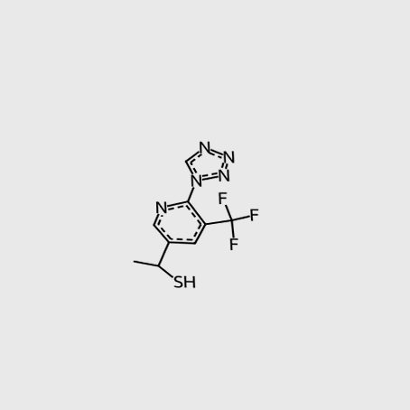 CC(S)c1cnc(-n2cnnn2)c(C(F)(F)F)c1